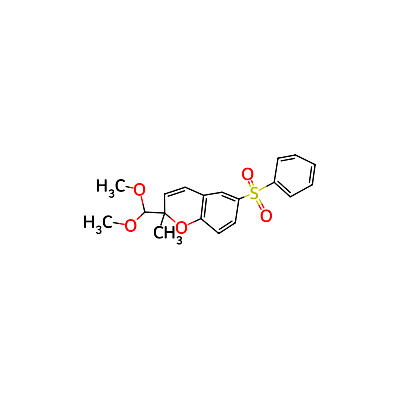 COC(OC)C1(C)C=Cc2cc(S(=O)(=O)c3ccccc3)ccc2O1